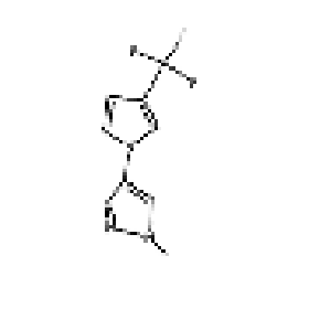 Cn1cc(-n2ccc(C(F)(F)F)c2)cn1